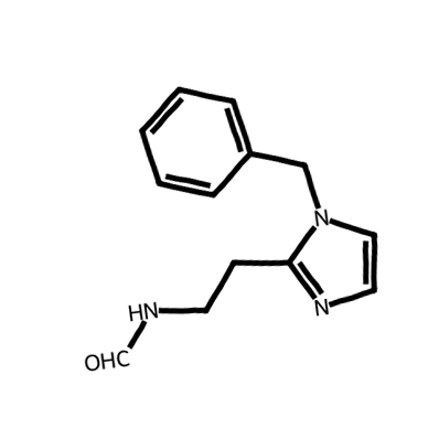 O=CNCCc1nccn1Cc1ccccc1